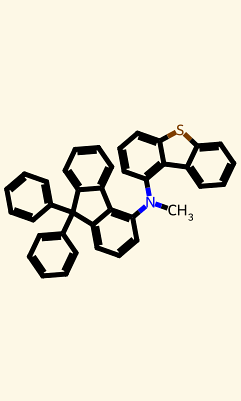 CN(c1cccc2c1-c1ccccc1C2(c1ccccc1)c1ccccc1)c1cccc2sc3ccccc3c12